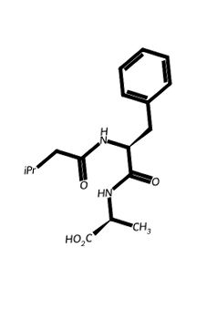 CC(C)CC(=O)N[C@@H](Cc1ccccc1)C(=O)N[C@@H](C)C(=O)O